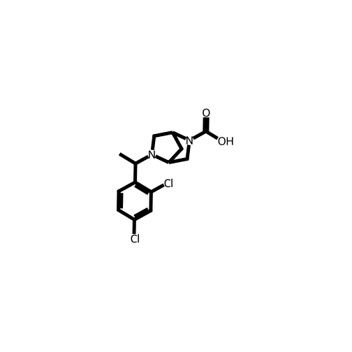 CC(c1ccc(Cl)cc1Cl)N1CC2CC1CN2C(=O)O